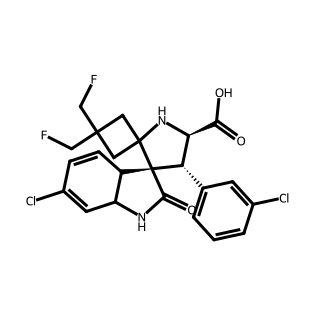 O=C(O)[C@@H]1NC2(CC(CF)(CF)C2)[C@@]2(C(=O)NC3C=C(Cl)C=CC32)[C@H]1c1cccc(Cl)c1